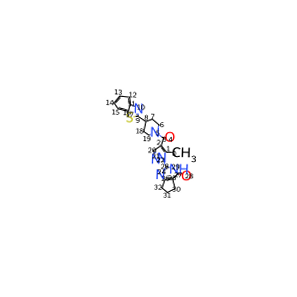 Cc1c(C(=O)N2CCC(c3nc4ccccc4s3)CC2)cnn1-c1nc2c(c(=O)[nH]1)CCC2